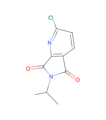 CC(C)N1C(=O)c2ccc(Cl)nc2C1=O